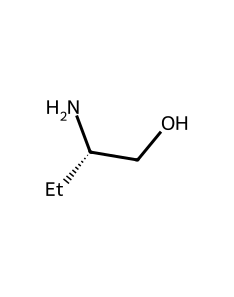 [CH2]C[C@H](N)CO